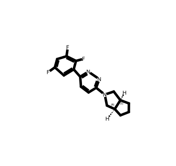 Fc1cc(F)c(F)c(-c2ccc(N3C[C@H]4CCC[C@H]4C3)nn2)c1